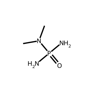 CN(C)P(N)(N)=O